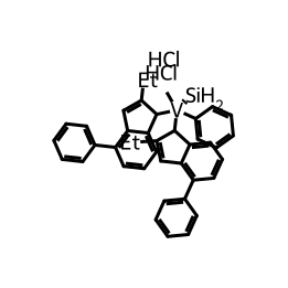 CCC1=Cc2c(-c3ccccc3)cccc2[CH]1[V]([CH3])(=[SiH2])([c]1ccccc1)[CH]1C(CC)=Cc2c(-c3ccccc3)cccc21.Cl.Cl